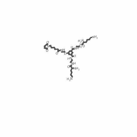 NCCCCC(N)C(=O)NCCNC(=O)c1cc(OCCNC(=O)CCCCCN2C(=O)C=CC2=O)cc(C(=O)NCCNC(=O)[C@@H](N)CCCCN)c1